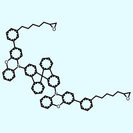 c1cc(CCCCCC2CO2)cc(-c2ccc3c(c2)Oc2ccccc2N3c2ccc3c(c2)-c2ccccc2C32c3ccccc3-c3ccc(N4c5ccccc5Oc5cc(-c6cccc(CCCCCC7CO7)c6)ccc54)cc32)c1